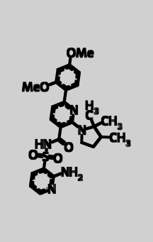 COc1ccc(-c2ccc(C(=O)NS(=O)(=O)c3cccnc3N)c(N3CCC(C)C3(C)C)n2)c(OC)c1